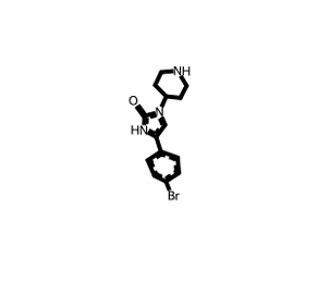 O=c1[nH]c(-c2ccc(Br)cc2)cn1C1CCNCC1